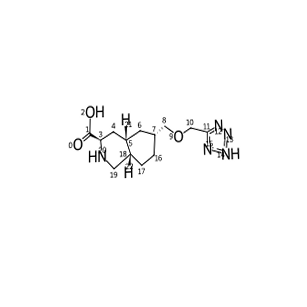 O=C(O)[C@H]1C[C@@H]2C[C@H](COCc3nn[nH]n3)CC[C@@H]2CN1